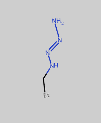 CCCNN=NN